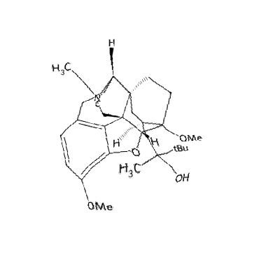 COc1ccc2c3c1O[C@H]1C4(OC)CC[C@@]5(C[C@@H]4C(C)(O)C(C)(C)C)[C@@H](C2)N(C)CC[C@]315